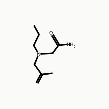 C=C(C)CN(CCC)CC(N)=O